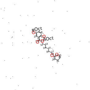 CCCCCCCCOc1ccc(OCCCCCCCC)c(C(=O)OCCCCCCOC2CCCCO2)c1